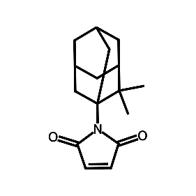 CC1(C)C2CC3CC(C2)CC1(N1C(=O)C=CC1=O)C3